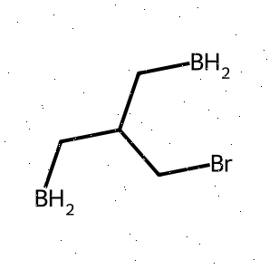 BCC(CB)CBr